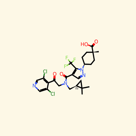 CC1(C)C[C@@H]1CN(CC(=O)c1c(Cl)cncc1Cl)C(=O)c1cnn([C@H]2CC[C@](C)(C(=O)O)CC2)c1C(F)(F)F